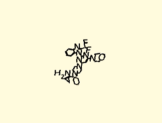 NC1(C(=O)N2CCN(c3cc(N4CCOCC4)nc(-n4c(C(F)F)nc5ccccc54)n3)CC2)CC1